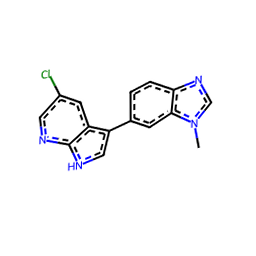 Cn1cnc2ccc(-c3c[nH]c4ncc(Cl)cc34)cc21